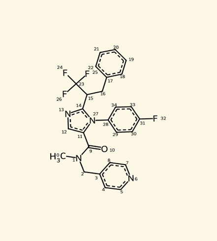 CN(Cc1ccncc1)C(=O)c1cnc(C(Cc2ccccc2)C(F)(F)F)n1-c1ccc(F)cc1